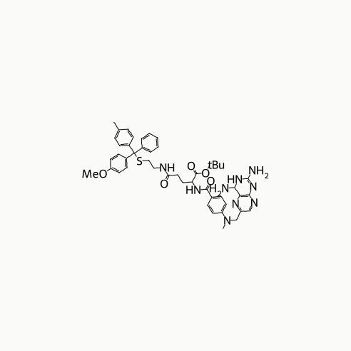 COc1ccc(C(SCCNC(=O)CCC(NC(=O)c2ccc(N(C)Cc3cnc4c(n3)C(N)NC(N)=N4)cc2)C(=O)OC(C)(C)C)(c2ccccc2)c2ccc(C)cc2)cc1